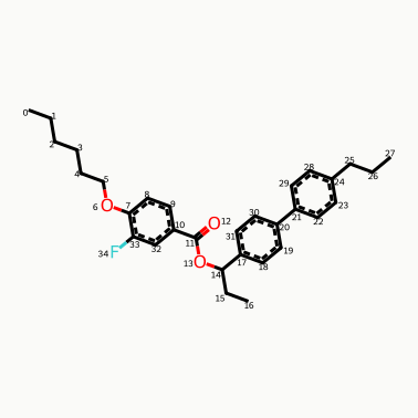 CCCCCCOc1ccc(C(=O)OC(CC)c2ccc(-c3ccc(CCC)cc3)cc2)cc1F